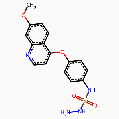 COc1ccc2c(Oc3ccc(NS(=O)(=O)NN)cc3)ccnc2c1